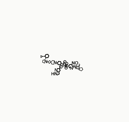 O=C(NS(=O)(=O)c1cnc(NCC2C3CCCC32)c([N+](=O)[O-])c1)c1ccc(N2CCC3(CC2)CC(N2CCC[C@H]2c2ccccc2C2CC2)C3)cc1Oc1cnc2[nH]ccc2c1